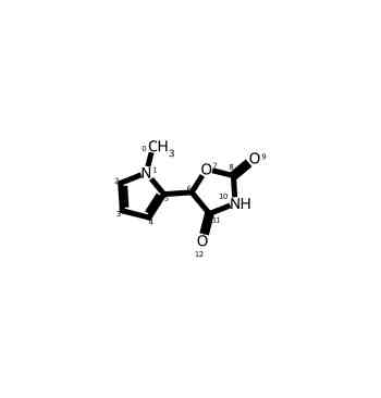 Cn1cccc1C1OC(=O)NC1=O